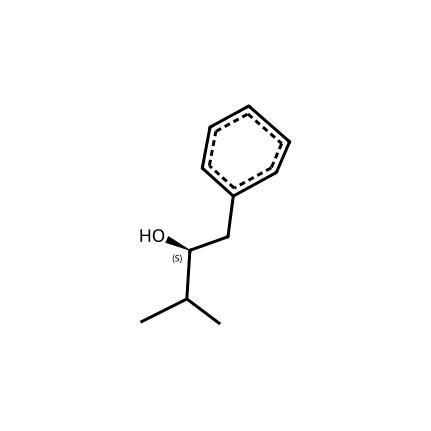 CC(C)[C@@H](O)Cc1ccccc1